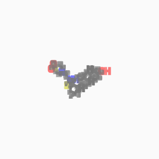 CC1(C)CC[C@]2(C(=S)NCCN3CCS(=O)(=O)CC3)CC[C@]3(C)C(=CC[C@@H]4[C@@]5(C)CCC(O)C(C)(C)[C@@H]5CC[C@]43C)[C@@H]2C1